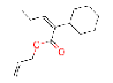 C=CCOC(=O)C(=CCC)C1CCCCC1